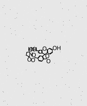 O=C(ON1C(=O)CCC1O)c1ccc2c(c1)C1(OC2=O)c2ccc(O)cc2Oc2cc(O)ccc21